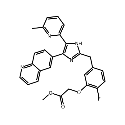 COC(=O)COc1cc(Cc2nc(-c3ccc4ncccc4c3)c(-c3cccc(C)n3)[nH]2)ccc1F